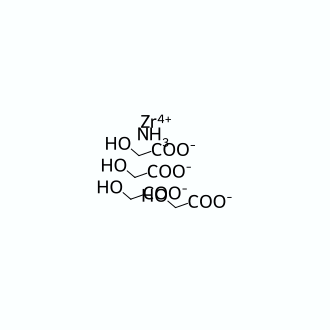 N.O=C([O-])CO.O=C([O-])CO.O=C([O-])CO.O=C([O-])CO.[Zr+4]